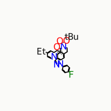 CCc1ccnc(C(=O)[C@]23Cc4cnn(-c5ccc(F)cc5)c4C=C2CCN(C(=O)OC(C)(C)C)C3)c1